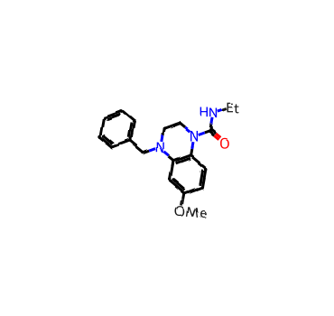 CCNC(=O)N1CCN(Cc2ccccc2)c2cc(OC)ccc21